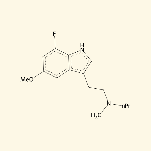 CCCN(C)CCc1c[nH]c2c(F)cc(OC)cc12